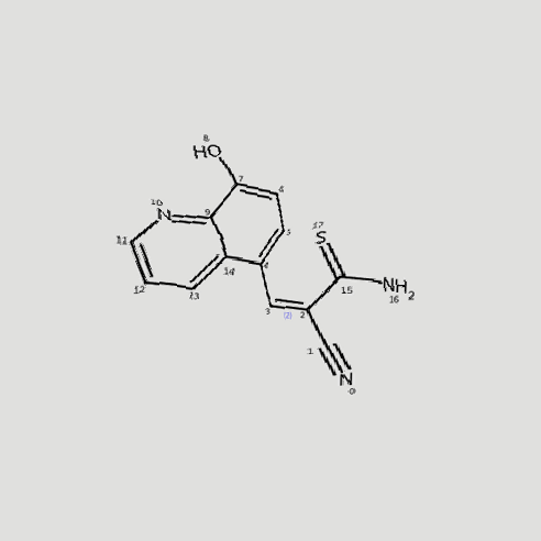 N#C/C(=C/c1ccc(O)c2ncccc12)C(N)=S